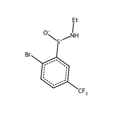 CCN[S+]([O-])c1cc(C(F)(F)F)ccc1Br